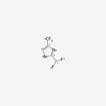 FC(F)C1=NC(C(F)(F)F)=[C][N]1